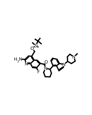 CN1CCC(n2ccc3c(C4CCCCN4C(=O)c4cc5c(CO[Si](C)(C)C(C)(C)C)cc(N)nc5cc4F)cccc32)CC1